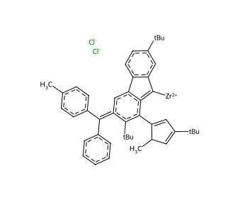 Cc1ccc(C(c2ccccc2)=c2cc3c(c(C4=CC(C(C)(C)C)=CC4C)c2C(C)(C)C)=[C]([Zr+2])c2cc(C(C)(C)C)ccc2-3)cc1.[Cl-].[Cl-]